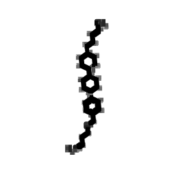 C=CCCOCc1ccc([C@H]2CC[C@H]([C@H]3CC[C@H](CCC=CC)CC3)CC2)cc1